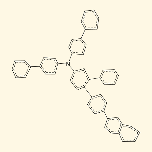 c1ccc(-c2ccc(N(c3ccc(-c4ccccc4)cc3)c3ccc(-c4ccc(-c5ccc6ccccc6c5)cc4)c(-c4ccccc4)c3)cc2)cc1